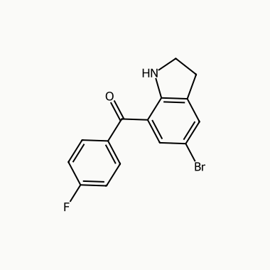 O=C(c1ccc(F)cc1)c1cc(Br)cc2c1NCC2